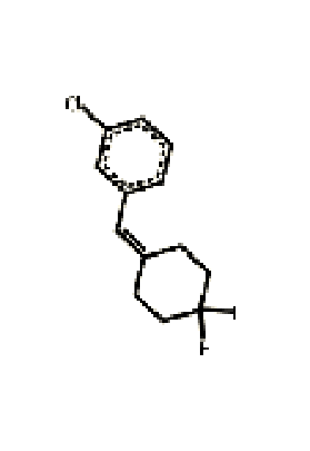 FC1(F)CCC(=Cc2cccc(Cl)c2)CC1